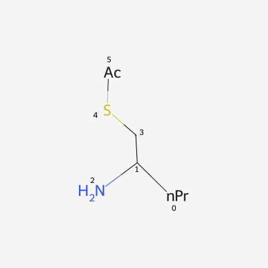 CCCC(N)CSC(C)=O